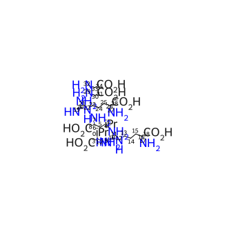 CC(C)C(N)C(=O)O.CC(C)CC(N)C(=O)O.N=C(N)NCCCC(N)C(=O)O.N=C(N)NCCCC(N)C(=O)O.NCC(=O)O.NCC(=O)O